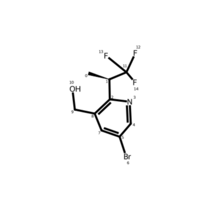 C[C@H](c1ncc(Br)cc1CO)C(F)(F)F